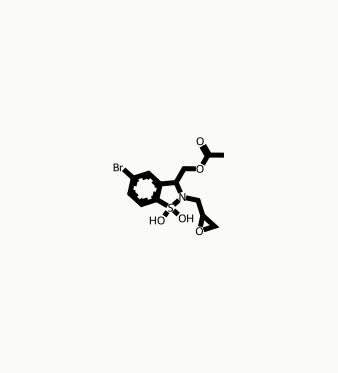 CC(=O)OCC1c2cc(Br)ccc2S(O)(O)N1CC1CO1